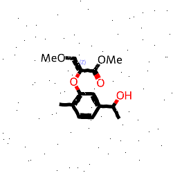 CO/C=C(\Oc1cc(C(C)O)ccc1C)C(=O)OC